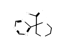 NC(=O)C1(c2ncncn2)COCCO1